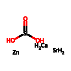 O=[Si](O)O.[CaH2].[SrH2].[Zn]